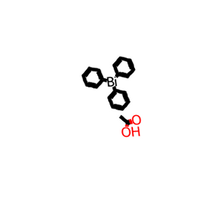 CC(=O)O.c1cc[c]([Bi]([c]2ccccc2)[c]2ccccc2)cc1